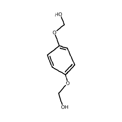 OCOc1ccc(OCO)cc1